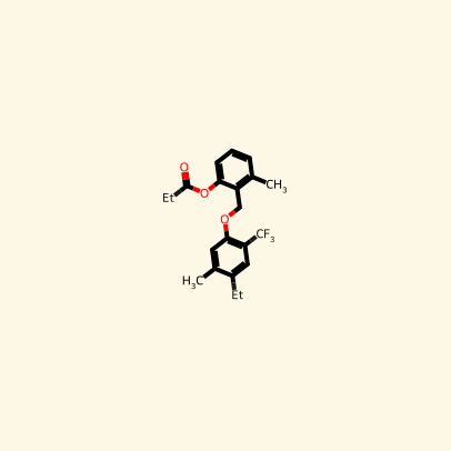 CCC(=O)Oc1cccc(C)c1COc1cc(C)c(CC)cc1C(F)(F)F